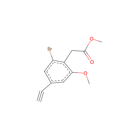 C#Cc1cc(Br)c(CC(=O)OC)c(OC)c1